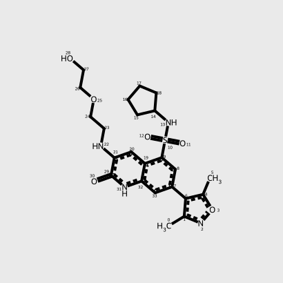 Cc1noc(C)c1-c1cc(S(=O)(=O)NC2CCCC2)c2cc(NCCOCCO)c(=O)[nH]c2c1